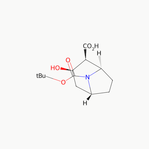 CC(C)(C)OC(=O)N1[C@@H]2CC[C@@H]1[C@H](C(=O)O)[C@H](O)C2